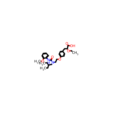 CCOC(Cc1ccc(OCCN(CC(CC)CC)C(=O)Nc2ccccc2OC)cc1)C(=O)O